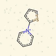 c1cc[n+](-c2cccs2)cc1